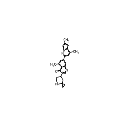 Cc1cn2nc(-c3cc(C)c4c(=O)n(C5CCNC6(CC6)C5)cnc4c3)cc(C)c2n1